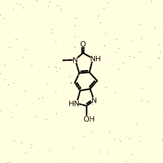 Cn1c(=O)[nH]c2cc3nc(O)[nH]c3cc21